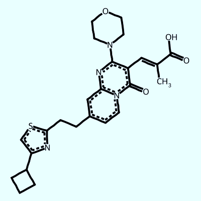 CC(=Cc1c(N2CCOCC2)nc2cc(CCc3nc(C4CCC4)cs3)ccn2c1=O)C(=O)O